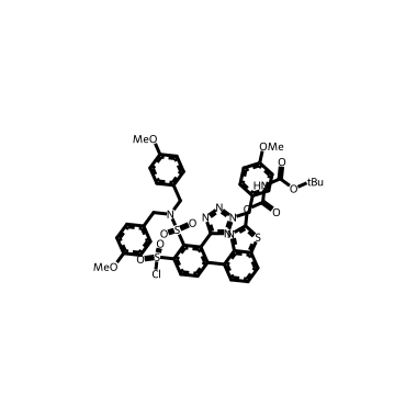 COc1ccc(CN(Cc2ccc(OC)cc2)S(=O)(=O)c2c(S(=O)(=O)Cl)ccc(-c3cccc4sc(OC(=O)NC(=O)OC(C)(C)C)nc34)c2-c2nnn(Cc3ccc(OC)cc3)n2)cc1